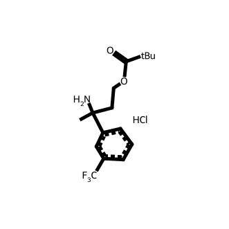 CC(C)(C)C(=O)OCCC(C)(N)c1cccc(C(F)(F)F)c1.Cl